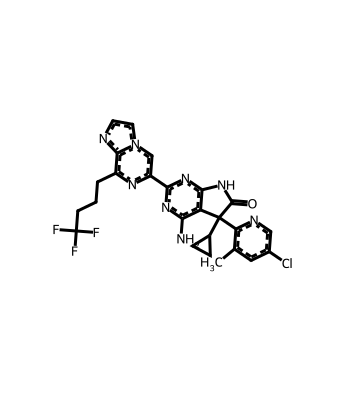 Cc1cc(Cl)cnc1C1(C2CC2)C(=O)Nc2nc(-c3cn4ccnc4c(CCCC(F)(F)F)n3)nc(N)c21